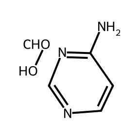 Nc1ccncn1.O=CO